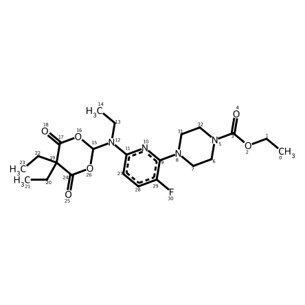 CCOC(=O)N1CCN(c2nc(N(CC)C3OC(=O)C(CC)(CC)C(=O)O3)ccc2F)CC1